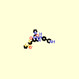 O=C(Cn1c(=O)c(-c2cc([S+]([O-])c3cccs3)cs2)cc2cnc(Nc3ccc(C4CCNCC4)cc3)nc21)N1CCCC1